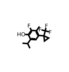 Cc1c(C2(C(F)(F)F)CC2)cc(C(C)C)c(O)c1F